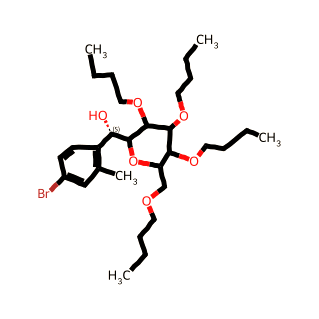 CCCCOCC1OC([C@@H](O)c2ccc(Br)cc2C)C(OCCCC)C(OCCCC)C1OCCCC